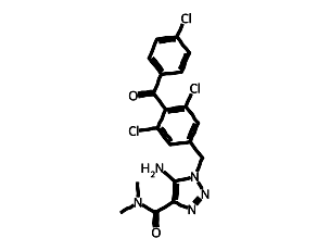 CN(C)C(=O)c1nnn(Cc2cc(Cl)c(C(=O)c3ccc(Cl)cc3)c(Cl)c2)c1N